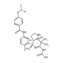 CC1(C)C(NC(=O)O)=N[C@](C)(c2nc(NC(=O)c3ccc(OC(F)F)cn3)ccc2F)[C@H]2CCN[SH]21=O